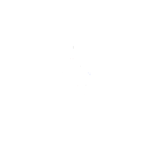 [CH2]C(N=C=O)(OCC)C(=O)C(=C)C